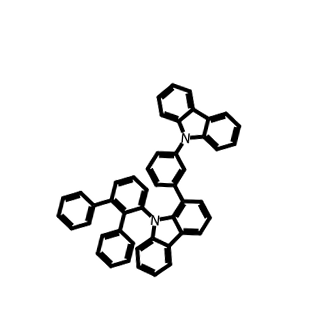 c1ccc(-c2cccc(-n3c4ccccc4c4cccc(-c5cccc(-n6c7ccccc7c7ccccc76)c5)c43)c2-c2ccccc2)cc1